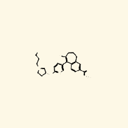 COC(=O)c1ccc2c(c1)CCCC(Br)=C2c1ccc(O[C@H]2CCN(CCCF)C2)nc1